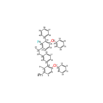 Cc1c(C(C)C)ccc(Oc2ccccc2)c1-c1cccc(CC(C)c2ccc(Oc3ccccc3)c(-c3ccccc3)c2F)c1